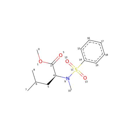 COC(=O)[C@H](CC(C)C)N(C)S(=O)(=O)c1ccccc1